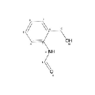 O=CNc1ccccc1CO